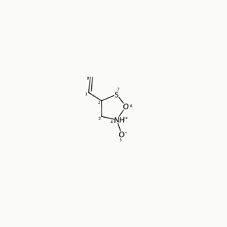 C=CC1C[NH+]([O-])OS1